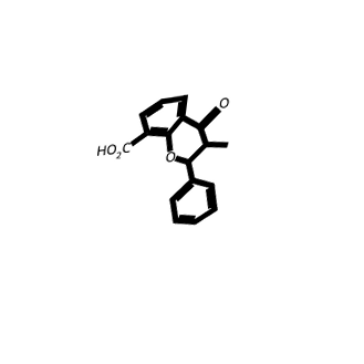 CC1C(=O)c2cccc(C(=O)O)c2OC1c1ccccc1